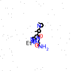 CCNc1ncc2cc(-c3ccc(-c4cccc(C)n4)cc3C)c(=O)n(CCCC(N)=O)c2n1